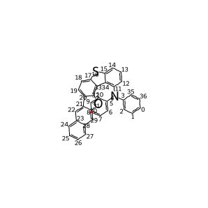 c1ccc(N(c2ccccc2)c2cccc3sc4ccc5c6cc7ccccc7cc6oc5c4c23)cc1